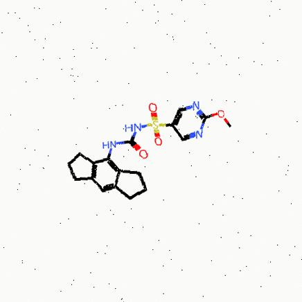 COc1ncc(S(=O)(=O)NC(=O)Nc2c3c(cc4c2CCC4)CCC3)cn1